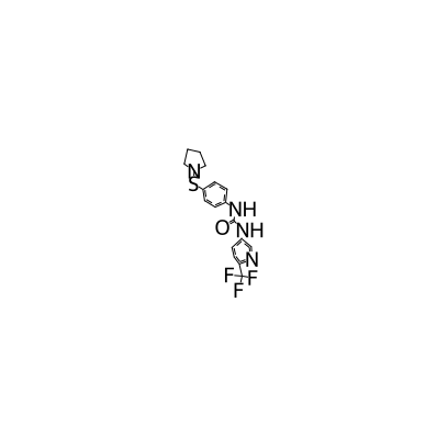 O=C(Nc1ccc(SN2CCCC2)cc1)Nc1ccc(C(F)(F)F)nc1